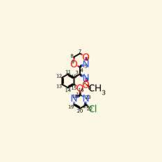 CON=C(C1=NOCCO1)c1ccccc1Oc1nccc(Cl)n1